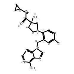 Nc1ncnc2c1ncn2Cc1cc(F)ccc1N1CC[C@](N)(C(=O)NC2CC2)C1